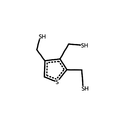 SCc1csc(CS)c1CS